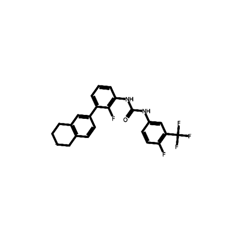 O=C(Nc1ccc(F)c(C(F)(F)F)c1)Nc1cccc(-c2ccc3c(c2)CC[CH]C3)c1F